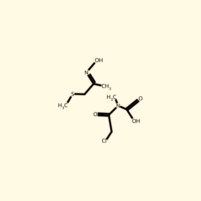 CN(C(=O)O)C(=O)CCl.CSCC(C)=NO